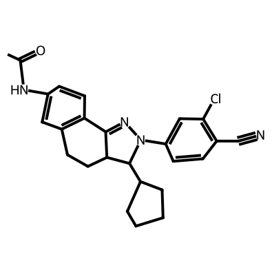 CC(=O)Nc1ccc2c(c1)CCC1C2=NN(c2ccc(C#N)c(Cl)c2)C1C1CCCC1